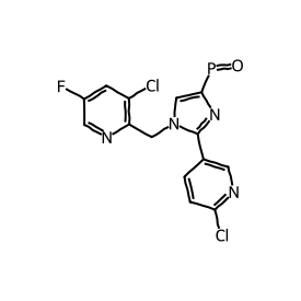 O=Pc1cn(Cc2ncc(F)cc2Cl)c(-c2ccc(Cl)nc2)n1